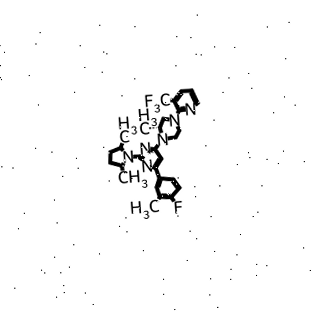 Cc1cc(-c2cc(N3CCN(c4ncccc4C(F)(F)F)C[C@H]3C)nc(N3C(C)CCC3C)n2)ccc1F